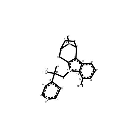 CN1C2CCC1c1c(n(CC(C)(O)c3ccncc3)c3c(Cl)cccc13)C2